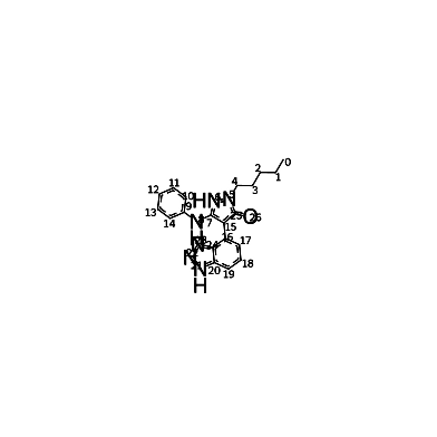 CCCCCn1[nH]c(Nc2ccccc2)c(-c2cccc3[nH]nnc23)c1=O